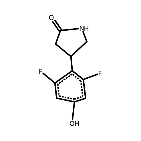 O=C1CC(c2c(F)cc(O)cc2F)CN1